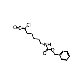 O=C=C(Cl)CCCCCNC(=O)OCc1ccccc1